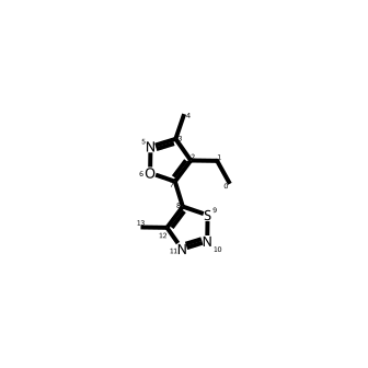 CCc1c(C)noc1-c1snnc1C